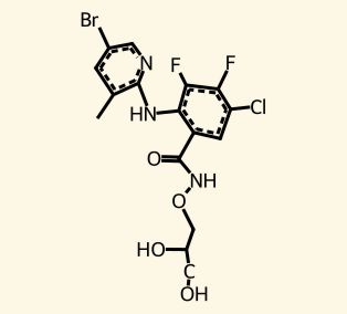 Cc1cc(Br)cnc1Nc1c(C(=O)NOCC(O)CO)cc(Cl)c(F)c1F